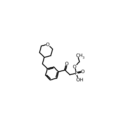 CCOP(=O)(O)CC(=O)c1cccc(CC2CCOCC2)c1